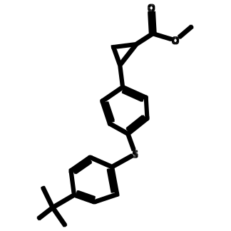 COC(=O)C1CC1c1ccc(Sc2ccc(C(C)(C)C)cc2)cc1